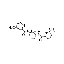 Cc1ccnc(C(=O)N[C@]23CCC[C@](NC(=O)c4cccc(C)n4)(CC2)C3)c1